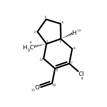 C[C@]12CCC[C@H]1CC(Cl)=C(C=O)C2